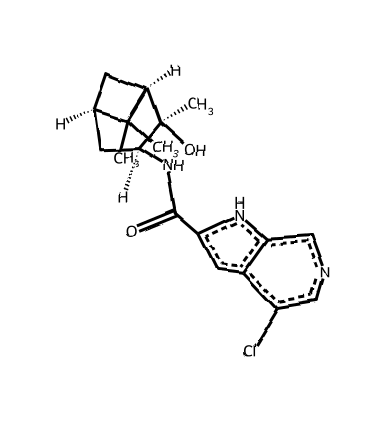 CC1(C)[C@H]2C[C@H](NC(=O)c3cc4c(Cl)cncc4[nH]3)[C@](C)(O)[C@@H]1C2